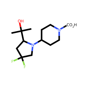 CC(C)(O)C1CC(F)(F)CN1C1CCN(C(=O)O)CC1